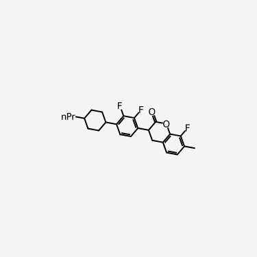 CCCC1CCC(c2ccc(C3Cc4ccc(C)c(F)c4OC3=O)c(F)c2F)CC1